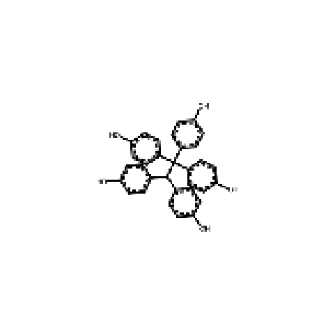 Oc1ccc(C(c2ccc(O)cc2)C(c2ccc(O)cc2)(c2ccc(O)cc2)c2ccc(O)cc2)cc1